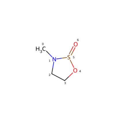 CN1CCOS1=O